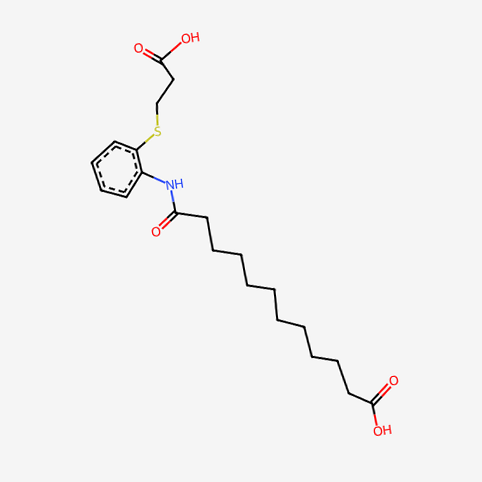 O=C(O)CCCCCCCCCCC(=O)Nc1ccccc1SCCC(=O)O